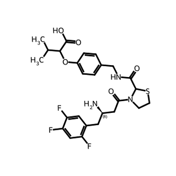 CC(C)C(Oc1ccc(CNC(=O)C2SCCN2C(=O)C[C@H](N)Cc2cc(F)c(F)cc2F)cc1)C(=O)O